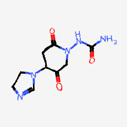 NC(=O)NN1CC(=O)C(N2C=NCC2)CC1=O